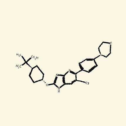 CC(C)(C(=O)O)[C@H]1CC[C@H](Oc2nc3nc(-c4ccc(N5CCSCC5)cc4)c(Cl)cc3[nH]2)CC1